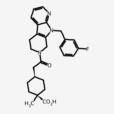 C[C@]1(C(=O)O)CC[C@@H](CC(=O)N2CCc3c(n(Cc4cccc(F)c4)c4ncccc34)C2)CC1